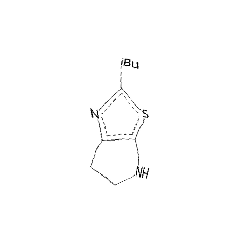 CCC(C)c1nc2c(s1)NCC2